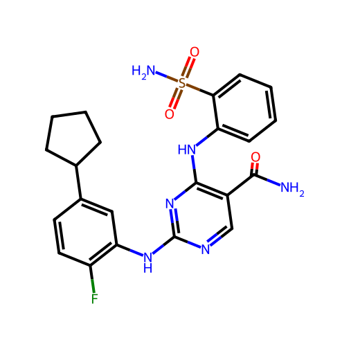 NC(=O)c1cnc(Nc2cc(C3CCCC3)ccc2F)nc1Nc1ccccc1S(N)(=O)=O